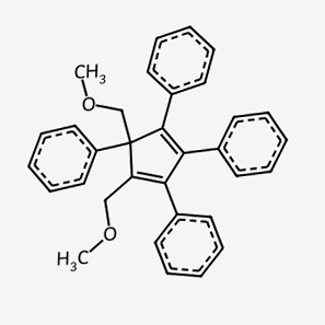 COCC1=C(c2ccccc2)C(c2ccccc2)=C(c2ccccc2)C1(COC)c1ccccc1